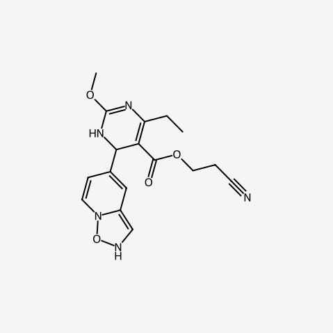 CCC1=C(C(=O)OCCC#N)C(C2=CC3=CNON3C=C2)NC(OC)=N1